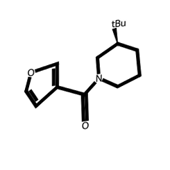 CC(C)(C)[C@H]1CCCN(C(=O)c2ccoc2)C1